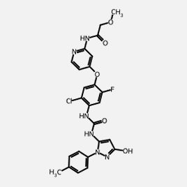 COCC(=O)Nc1cc(Oc2cc(Cl)c(NC(=O)Nc3cc(O)nn3-c3ccc(C)cc3)cc2F)ccn1